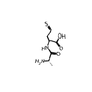 C[C@H](N)C(=O)NC(CC=S)C(=O)O